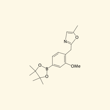 COc1cc(B2OC(C)(C)C(C)(C)O2)ccc1Cc1ncc(C)o1